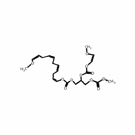 CO/C=C\C/C=C\C/C=C\C/C=C\OC(=O)OCC(COC(=O)OC)OC(=O)O/C=C\OC